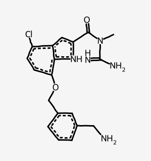 CN(C(=N)N)C(=O)c1cc2c(Cl)ccc(OCc3cccc(CN)c3)c2[nH]1